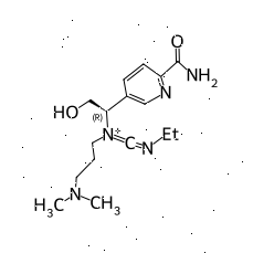 CCN=C=[N+](CCCN(C)C)[C@@H](CO)c1ccc(C(N)=O)nc1